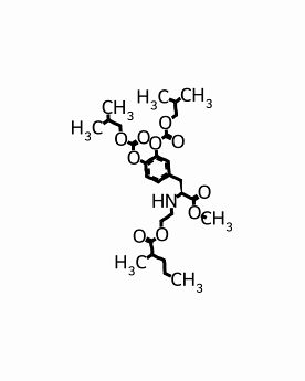 CCCC(C)C(=O)OCCN[C@@H](Cc1ccc(OC(=O)OCC(C)C)c(OC(=O)OCC(C)C)c1)C(=O)OC